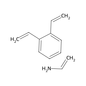 C=CN.C=Cc1ccccc1C=C